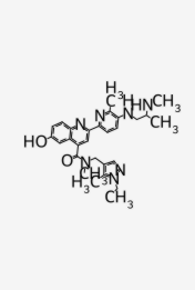 CCn1ncc(CN(C)C(=O)c2cc(-c3ccc(NCC(C)NC)c(C)n3)nc3ccc(O)cc23)c1C